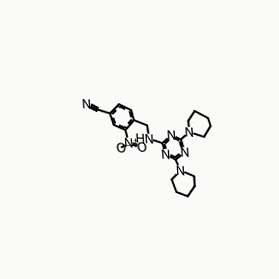 N#Cc1ccc(CNc2nc(N3CCCCC3)nc(N3CCCCC3)n2)c([N+](=O)[O-])c1